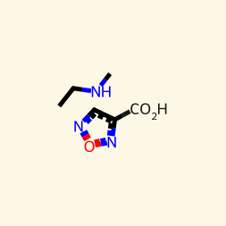 CCNC.O=C(O)c1cnon1